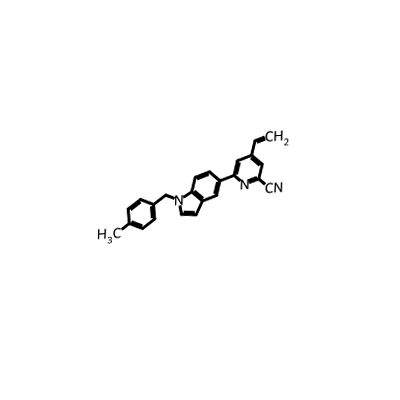 C=Cc1cc(C#N)nc(-c2ccc3c(ccn3Cc3ccc(C)cc3)c2)c1